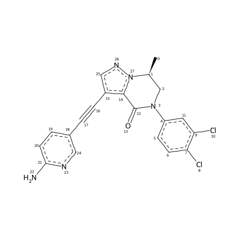 C[C@H]1CN(c2ccc(Cl)c(Cl)c2)C(=O)c2c(C#Cc3ccc(N)nc3)cnn21